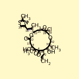 C=CC[C@H]1C(=O)C(C)(C)[C@@H](O)CC(=O)O[C@H](/C(C)=C/c2csc(C)n2)CC2OC2(Cl)COC[C@H](C)[C@@H]1O